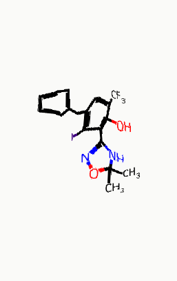 CC1(C)NC(c2c(O)c(C(F)(F)F)cc(-c3ccccc3)c2I)=NO1